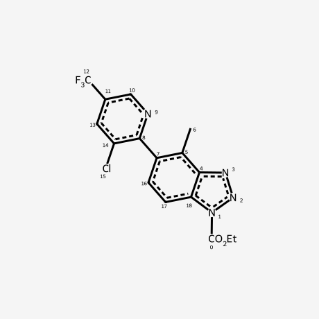 CCOC(=O)n1nnc2c(C)c(-c3ncc(C(F)(F)F)cc3Cl)ccc21